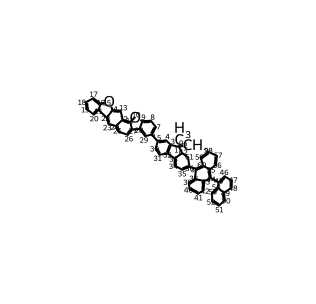 CC1(C)c2cc(-c3ccc4oc5c6cc7oc8ccccc8c7cc6ccc5c4c3)ccc2C2=CC=C(c3c4ccccc4c(-c4cccc5ccccc45)c4ccccc34)CC21